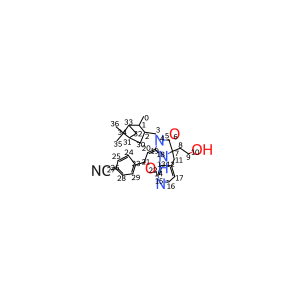 CC1C(CN2C(=O)C(CCO)(Cc3ccncc3)NC2=CC(=O)c2ccc(C#N)cc2)CC2CC1C2(C)C